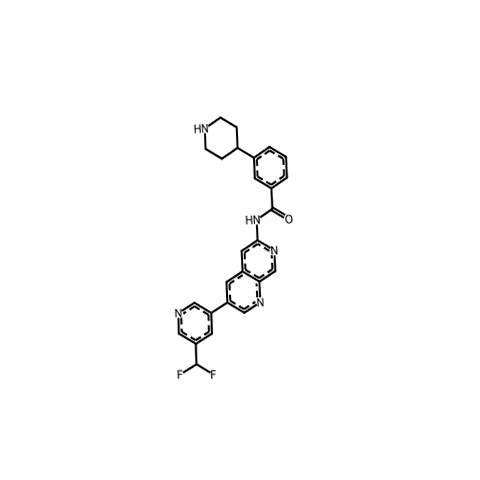 O=C(Nc1cc2cc(-c3cncc(C(F)F)c3)cnc2cn1)c1cccc(C2CCNCC2)c1